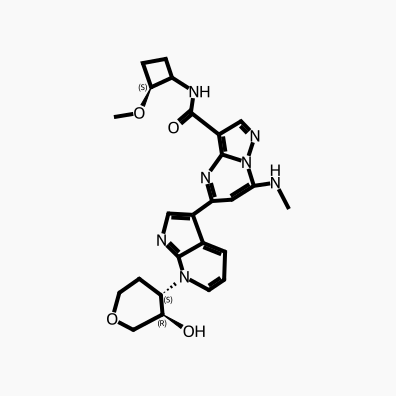 CNc1cc(-c2cnc3n([C@H]4CCOC[C@@H]4O)cccc2-3)nc2c(C(=O)NC3CC[C@@H]3OC)cnn12